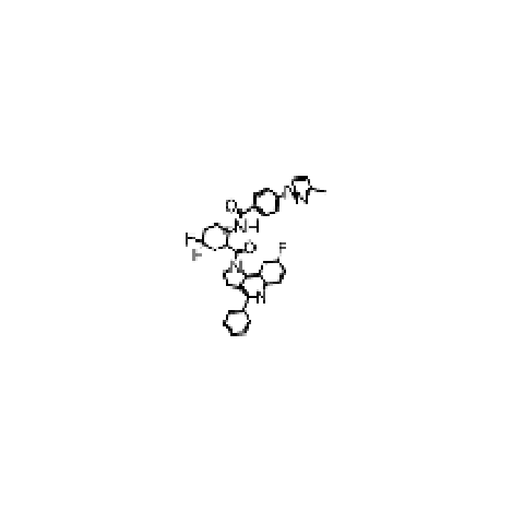 Cc1ccn(-c2ccc(C(=O)N[C@@H]3CCC(F)(F)CC3C(=O)N3CCc4c(-c5ccccc5)nc5ccc(F)cc5c43)cc2)n1